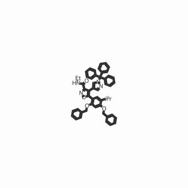 CCNC(=O)c1noc(-c2cc(C(C)C)c(OCc3ccccc3)cc2OCc2ccccc2)c1-c1cnn(C(c2ccccc2)(c2ccccc2)c2ccccc2)c1